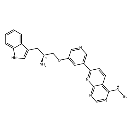 CCNc1ncnc2nc(-c3cncc(OC[C@@H](N)Cc4c[nH]c5ccccc45)c3)ccc12